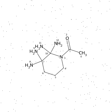 CC(=O)N1CCCC(N)(N)C1(N)N